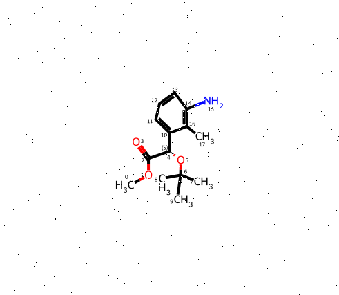 COC(=O)[C@@H](OC(C)(C)C)c1cccc(N)c1C